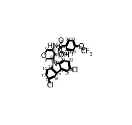 CCCN=S(=O)(NC1=COC[C@H](n2c3ccc(Cl)cc3c3cc(Cl)ccc32)[C@H]1O)c1ccc(OC(F)(F)F)cc1